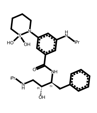 CC(C)NC[C@@H](O)[C@H](Cc1ccccc1)NC(=O)c1cc(NC(C)C)cc(N2CCCCS2(O)O)c1